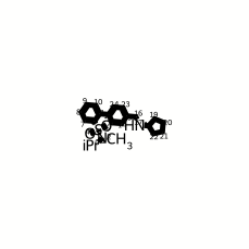 CC(C)N(C)S(=O)(=O)c1ccccc1-c1ccc(CNC2CCCC2)cc1